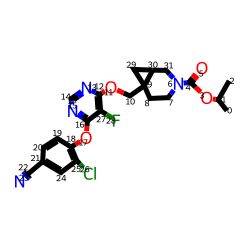 CC(C)OC(=O)N1CCC2(COc3ncnc(Oc4ccc(C#N)cc4Cl)c3F)CC2C1